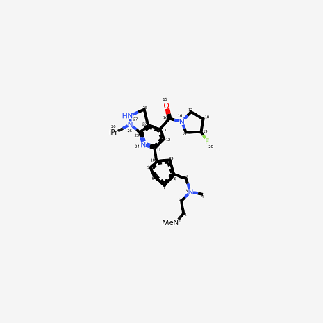 CNCCN(C)Cc1cccc(-c2cc(C(=O)N3CCC(F)C3)c3c(n2)N(C(C)C)NC3)c1